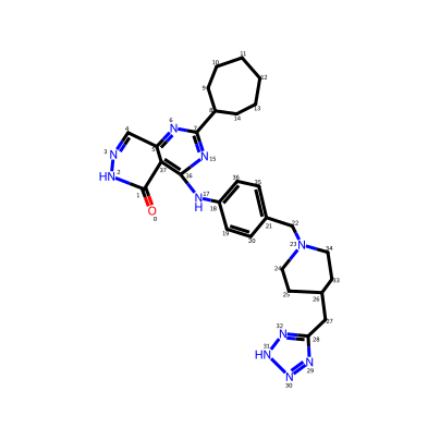 O=c1[nH]ncc2nc(C3CCCCCC3)nc(Nc3ccc(CN4CCC(Cc5nn[nH]n5)CC4)cc3)c12